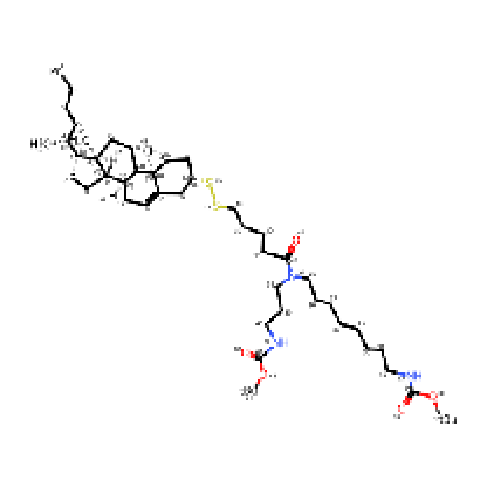 CC(C)CCC[C@@H](C)[C@H]1CC[C@H]2[C@@H]3CC=C4C[C@@H](SSCCCCC(=O)N(CCCCCCCCNC(=O)OC(C)(C)C)CCCNC(=O)OC(C)(C)C)CC[C@]4(C)C3CC[C@]12C